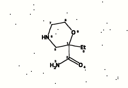 CCC1(C(N)=O)CNCCO1